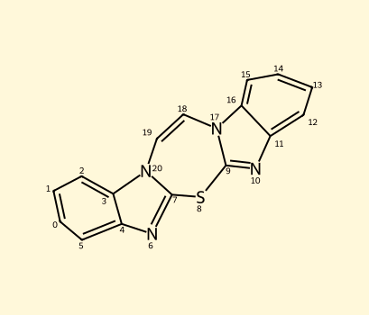 c1ccc2c(c1)nc1sc3nc4ccccc4n3ccn12